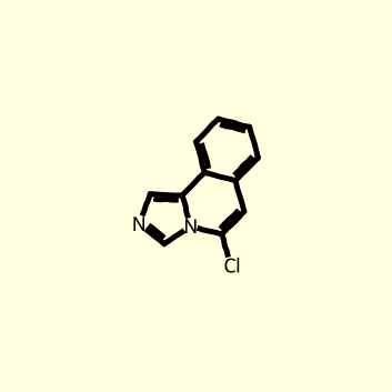 Clc1cc2ccccc2c2cncn12